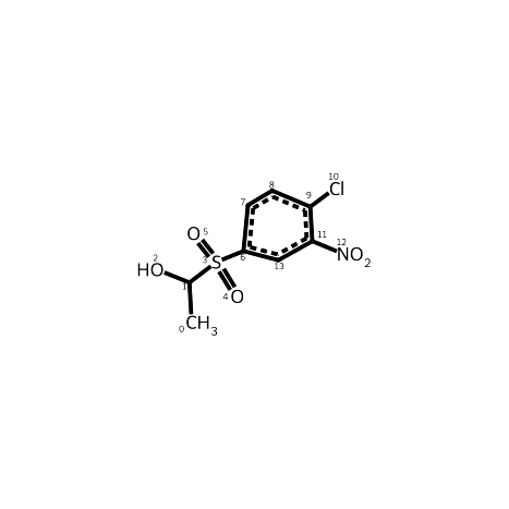 CC(O)S(=O)(=O)c1ccc(Cl)c([N+](=O)[O-])c1